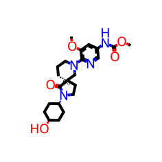 COC(=O)Nc1cnc(N2CCC[C@@]3(CCN([C@H]4CC[C@H](O)CC4)C3=O)C2)c(OC)c1